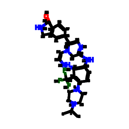 CC(C)N1CCN(c2ccc(NC3=NC=C(c4ccc5c(c4)CNC5=O)N(/C=C\N)C3)cc2C(F)(F)F)CC1